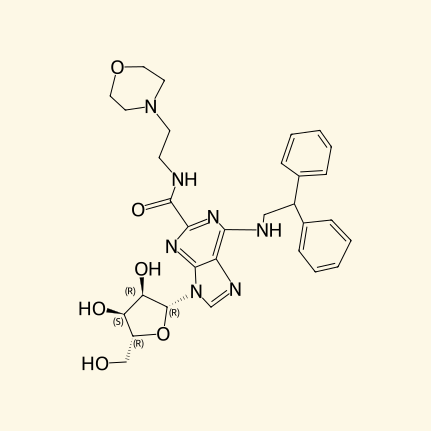 O=C(NCCN1CCOCC1)c1nc(NCC(c2ccccc2)c2ccccc2)c2ncn([C@@H]3O[C@H](CO)[C@@H](O)[C@H]3O)c2n1